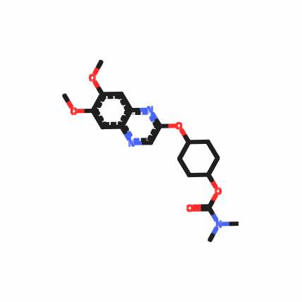 COc1cc2ncc(OC3CCC(OC(=O)N(C)C)CC3)nc2cc1OC